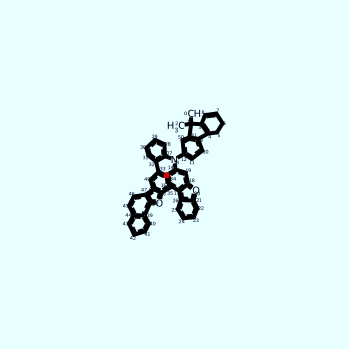 CC1(C)C2=C(CCC=C2)c2ccc(N(c3ccc4c(c3)oc3ccccc34)c3ccccc3-c3ccc4oc5c6ccccc6ccc5c4c3)cc21